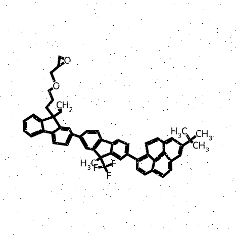 C=CC1(CCCOCC2CO2)c2ccccc2-c2ccc(-c3ccc4c(c3)C(C)(C(F)(F)F)c3cc(-c5ccc6ccc7cc(C(C)(C)C)cc8ccc5c6c78)ccc3-4)cc21